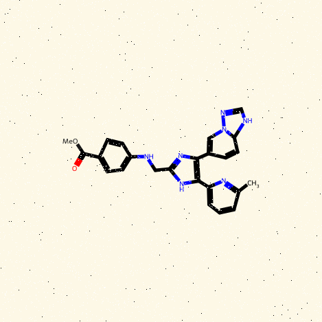 COC(=O)c1ccc(NCc2nc(C3=CN4N=CNC4C=C3)c(-c3cccc(C)n3)[nH]2)cc1